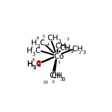 [CH3][Co]([CH3])([CH3])([CH3])([CH3])([CH3])([CH3])([CH3])([CH3])[CH3]